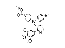 COc1cc(-c2ncccc2CN(c2ccc(Br)cc2)C2CCN(C(=O)OC(C)(C)C)CC2)cc(OC)c1OC